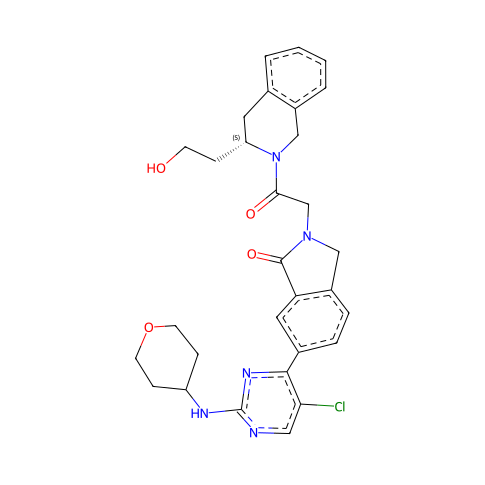 O=C1c2cc(-c3nc(NC4CCOCC4)ncc3Cl)ccc2CN1CC(=O)N1Cc2ccccc2C[C@H]1CCO